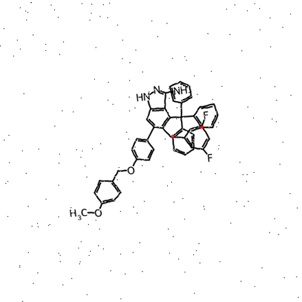 COc1ccc(COc2ccc(-c3cc4[nH]nc(N)c4c(C(c4ccccc4)(c4ccccc4)c4ccccc4)c3Cc3cc(F)cc(F)c3)cc2)cc1